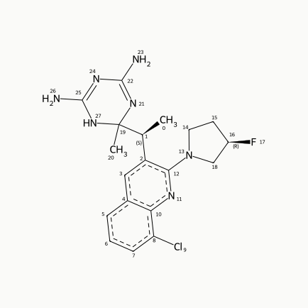 C[C@@H](c1cc2cccc(Cl)c2nc1N1CC[C@@H](F)C1)C1(C)N=C(N)N=C(N)N1